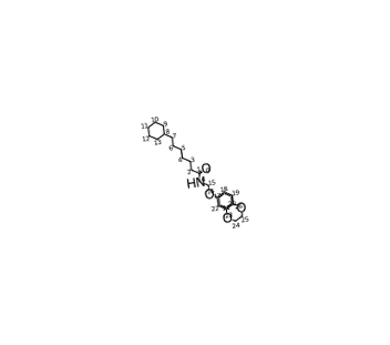 O=C(CCCCCCC1CCCCC1)NCOc1ccc2c(c1)OCCO2